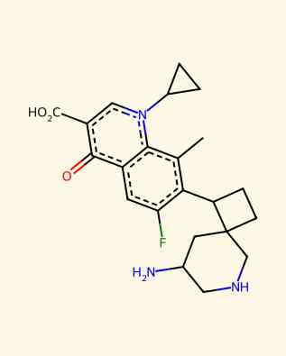 Cc1c(C2CCC23CNCC(N)C3)c(F)cc2c(=O)c(C(=O)O)cn(C3CC3)c12